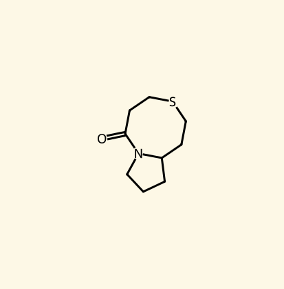 O=C1CCSCCC2CCCN12